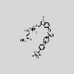 Cc1nnc(-c2ccc(N3CCN(C(=O)COc4ccc5[nH]cc(CCN)c5c4)CC3)cc2)o1.O=C(O)/C=C/C(=O)O